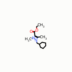 CCOC(=O)c1c(C)n(CC2CCCCC2)n1C